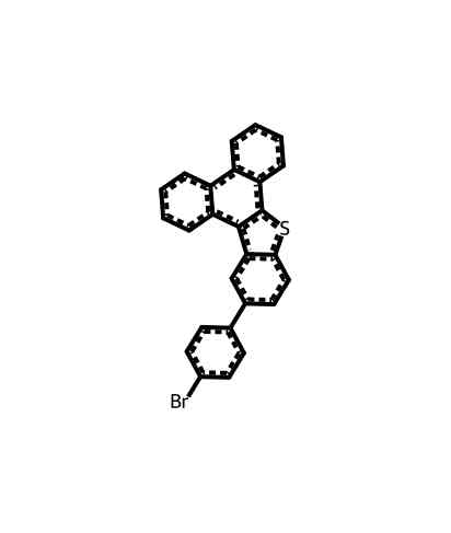 Brc1ccc(-c2ccc3sc4c5ccccc5c5ccccc5c4c3c2)cc1